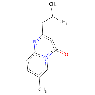 Cc1ccc2nc(CC(C)C)cc(=O)n2c1